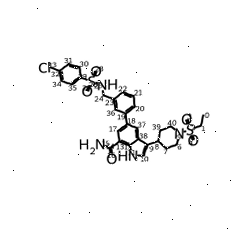 CCS(=O)(=O)N1CCC(c2c[nH]c3c(C(N)=O)cc(-c4cccc(CNS(=O)(=O)c5ccc(Cl)cc5)c4)cc23)CC1